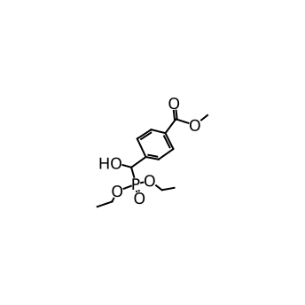 CCOP(=O)(OCC)C(O)c1ccc(C(=O)OC)cc1